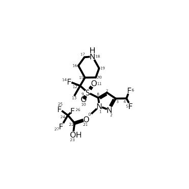 Cn1nc(C(F)F)cc1S(=O)(=O)C(C)(F)C1CCNCC1.O=C(O)C(F)(F)F